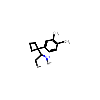 CCCNC(CC(C)C)C1(c2ccc(C)c(C)c2)CCC1